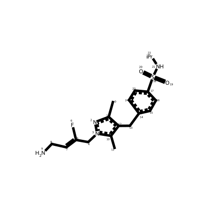 Cc1nn(CC(F)=CCN)c(C)c1Cc1ccc(S(=O)(=O)NC(C)C)cc1